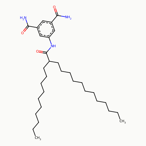 CCCCCCCCCCCCC(CCCCCCCCCC)C(=O)Nc1cc(C(N)=O)cc(C(N)=O)c1